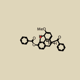 COC1=CC=C2[C@@H]3Cc4ccc(OC(=O)c5ccccc5)c5c4[C@]2(CCN3C(=O)c2ccccc2)[C@@H]1O5